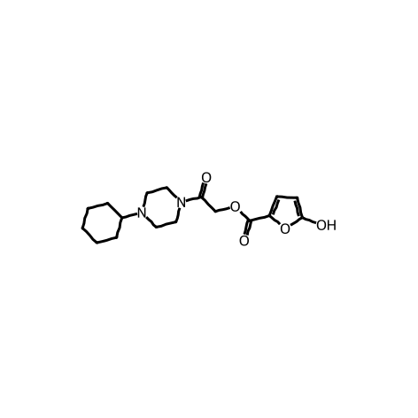 O=C(OCC(=O)N1CCN(C2CCCCC2)CC1)c1ccc(O)o1